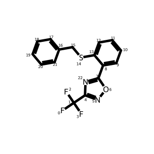 FC(F)(F)c1noc(-c2ccccc2SCc2ccccc2)n1